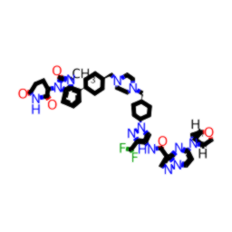 Cn1c(=O)n(C2CCC(=O)NC2=O)c2cccc([C@H]3CC[C@H](CN4CCN(C[C@H]5CC[C@H](n6cc(NC(=O)c7cnn8ccc(N9C[C@H]%10C[C@@H]9CO%10)nc78)c(C(F)F)n6)CC5)CC4)CC3)c21